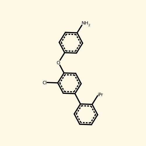 CC(C)c1ccccc1-c1ccc(Oc2ccc(N)cc2)c(Cl)c1